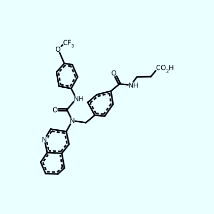 O=C(O)CCNC(=O)c1ccc(CN(C(=O)Nc2ccc(OC(F)(F)F)cc2)c2cnc3ccccc3c2)cc1